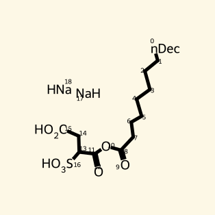 CCCCCCCCCCCCCCCCCC(=O)OC(=O)C(CC(=O)O)S(=O)(=O)O.[NaH].[NaH]